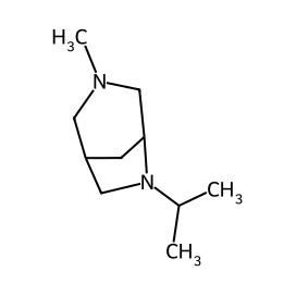 CC(C)N1CC2CC1CN(C)C2